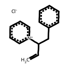 C=CC(Cc1ccccc1)[n+]1ccccc1.[Cl-]